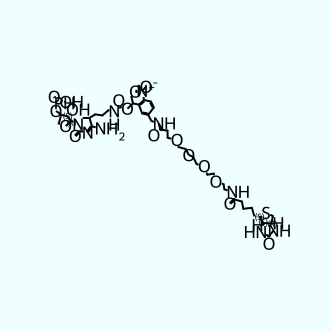 CC(OC(=O)NCCCC1CN([C@@H]2OCC(O[PH](=O)O)[C@@H]2O)C(=O)N=C1N)c1cc(CNC(=O)CCOCCOCCOCCOCCNC(=O)CCCC[C@@H]2SC[C@@H]3NC(=O)N[C@@H]32)ccc1[N+](=O)[O-]